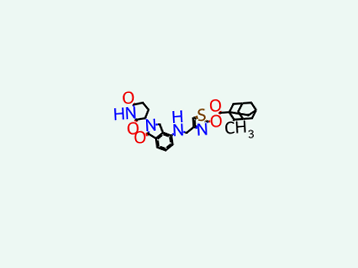 CC1C2CC3CC(C2)CC1(C(=O)Oc1nc(CNc2cccc4c2CN(C2CCC(=O)NC2=O)C4=O)cs1)C3